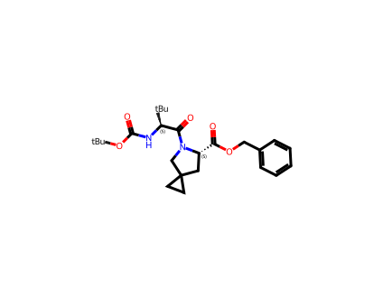 CC(C)(C)OC(=O)N[C@H](C(=O)N1CC2(CC2)C[C@H]1C(=O)OCc1ccccc1)C(C)(C)C